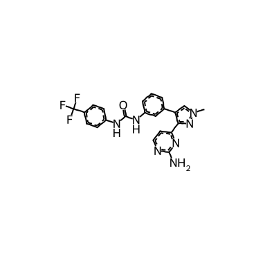 Cn1cc(-c2cccc(NC(=O)Nc3ccc(C(F)(F)F)cc3)c2)c(-c2ccnc(N)n2)n1